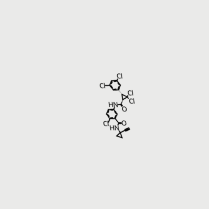 C#CC1(NC(=O)c2cc(NC(=O)[C@H]3[C@H](c4cc(Cl)cc(Cl)c4)C3(Cl)Cl)ccc2Cl)CC1